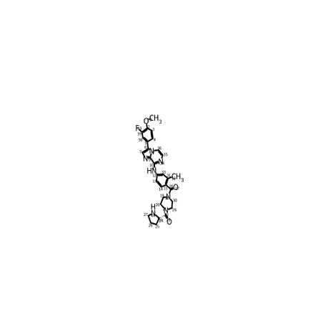 COc1ccc(-c2cnc3c(Nc4ccc(C(=O)N5CCN(C(=O)[C@@H]6CCCN6)CC5)c(C)c4)nccn23)cc1F